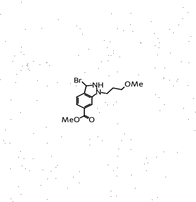 COCCCN1NC(Br)c2ccc(C(=O)OC)cc21